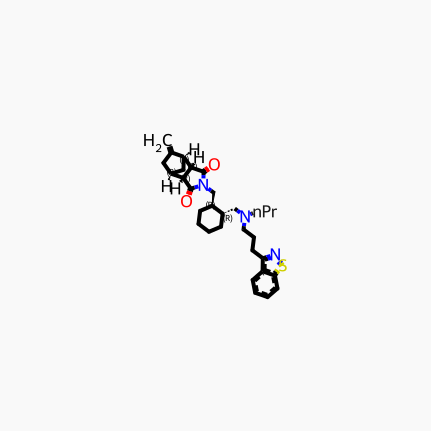 C=C1C[C@H]2C[C@@H]1[C@@H]1C(=O)N(C[C@@H]3CCCC[C@H]3CN(CCC)CCCc3nsc4ccccc34)C(=O)[C@H]21